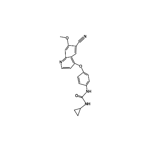 COc1cc2nccc(Oc3ccc(NC(=O)NC4CC4)cc3)c2cc1C#N